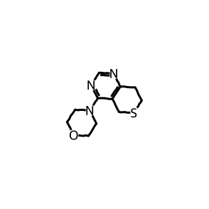 c1nc2c(c(N3CCOCC3)n1)CSCC2